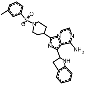 Cc1cccc(S(=O)(=O)N2CCC(c3nc(C4Cc5ccccc5N4)c4c(N)nccn34)CC2)c1